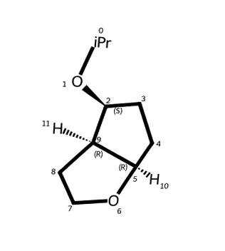 CC(C)O[C@H]1CC[C@H]2OCC[C@@H]12